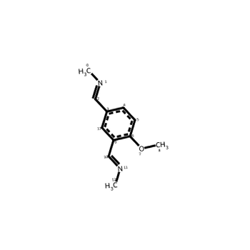 C/N=C/c1ccc(OC)c(/C=N/C)c1